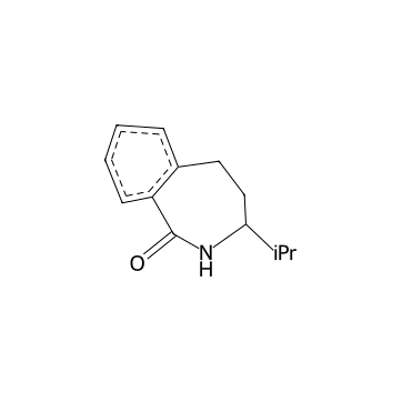 CC(C)C1CCc2ccccc2C(=O)N1